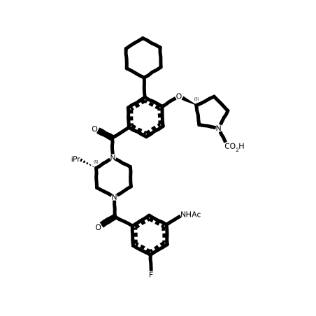 CC(=O)Nc1cc(F)cc(C(=O)N2CCN(C(=O)c3ccc(O[C@H]4CCN(C(=O)O)C4)c(C4CCCCC4)c3)[C@@H](C(C)C)C2)c1